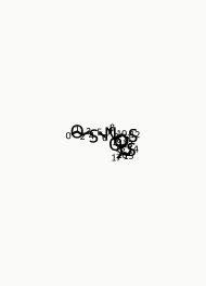 COCCSCCN(C)c1cc(=S)c2scc(C)c2o1